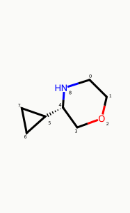 C1COC[C@H](C2CC2)N1